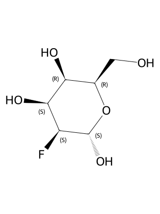 OC[C@H]1O[C@H](O)[C@@H](F)[C@@H](O)[C@H]1O